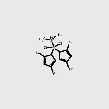 CCC1=CC(C(C)C)=C[CH]1[Ti]([Cl])([Cl])([CH]1C=C(C(C)C)C=C1CC)[SiH](C)C